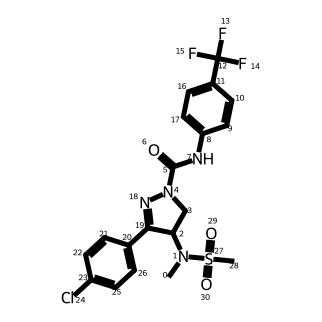 CN(C1CN(C(=O)Nc2ccc(C(F)(F)F)cc2)N=C1c1ccc(Cl)cc1)S(C)(=O)=O